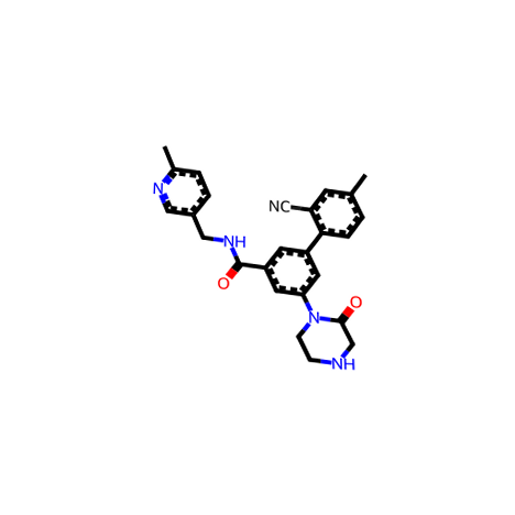 Cc1ccc(-c2cc(C(=O)NCc3ccc(C)nc3)cc(N3CCNCC3=O)c2)c(C#N)c1